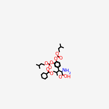 CC(C)CCOC(=O)Oc1ccc(C(C(C)COC(=O)C2CCCCC2)[C@H](N)C(=O)O)cc1OC(=O)OCCC(C)C